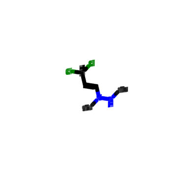 CC(C)(C)NN(C=C[SiH](Cl)Cl)C(C)(C)C